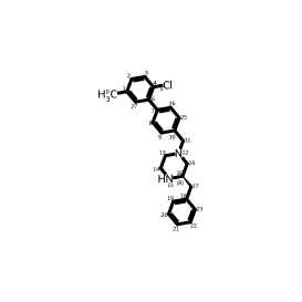 Cc1ccc(Cl)c(-c2ccc(CN3CCN[C@H](Cc4ccccc4)C3)cc2)c1